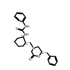 O=C(Nc1ccccc1)N[C@@H]1CCCC[C@H]1CN1CC(=O)O[C@@H](Cc2ccccc2)C1